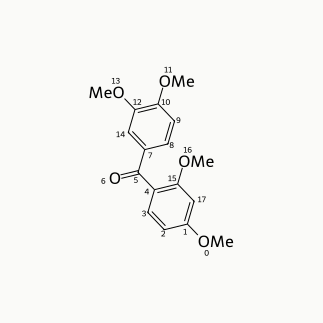 COc1ccc(C(=O)c2ccc(OC)c(OC)c2)c(OC)c1